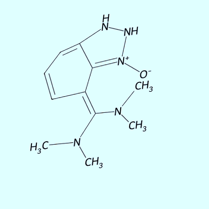 CN(C)C(=c1cccc2c1=[N+]([O-])NN2)N(C)C